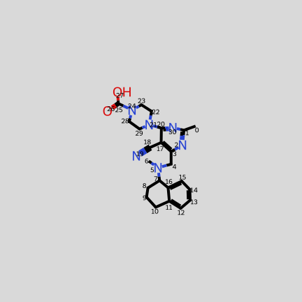 Cc1nc(CN(C)C2CCCc3ccccc32)c(C#N)c(N2CCN(C(=O)O)CC2)n1